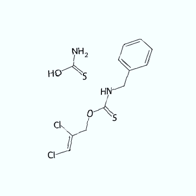 NC(O)=S.S=C(NCc1ccccc1)OCC(Cl)=CCl